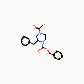 [CH2]C(=O)N1CCN(C(=O)OCc2ccccc2)C(Cc2ccccc2)C1